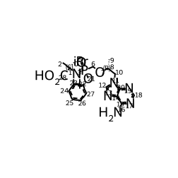 CC(C)[C@](C)(NP(=O)(CO[C@H](C)Cn1cnc2c(N)ncnc21)Oc1ccccc1)C(=O)O